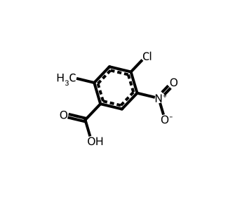 Cc1cc(Cl)c([N+](=O)[O-])cc1C(=O)O